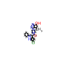 C[C@@H]1C[C@@H](O)c2ncnc(N3CCN(C(=O)C(CNC4CCCCC4)c4ccc(Cl)cc4)CC3)c21